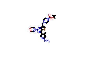 Cc1cc(N)ncc1-c1nc(N2CCOCC2)nc2c(CN3CCN(C(=O)OC(C)(C)C)CC3)csc12